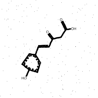 O=C(O)CC(=O)/C=C/c1ccc(O)cc1